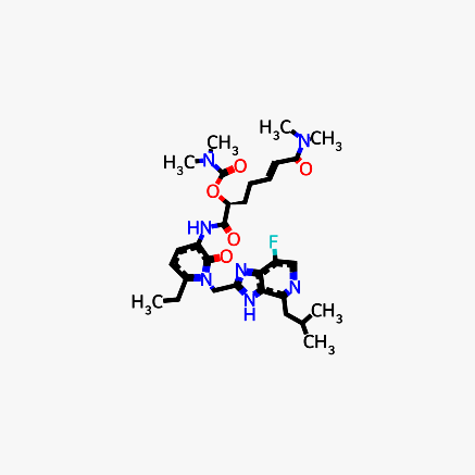 CCc1ccc(NC(=O)[C@H](CC/C=C/C(=O)N(C)C)OC(=O)N(C)C)c(=O)n1Cc1nc2c(F)cnc(CC(C)C)c2[nH]1